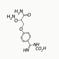 N=C(NC(=O)O)c1ccc(OCC(ON)C(N)=O)cc1